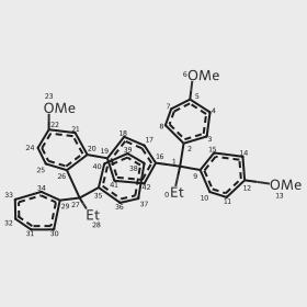 CCC(c1ccc(OC)cc1)(c1ccc(OC)cc1)c1ccc(-c2cc(OC)ccc2C(CC)(c2ccccc2)c2ccccc2)cc1